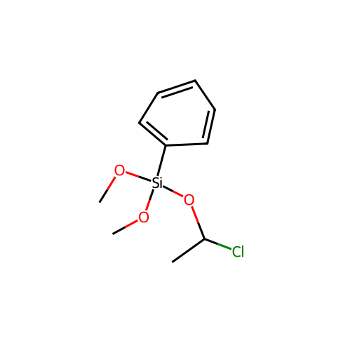 CO[Si](OC)(OC(C)Cl)c1ccccc1